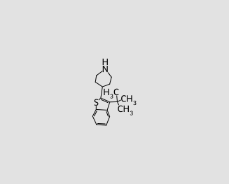 CC(C)(C)c1c(C2CCNCC2)sc2ccccc12